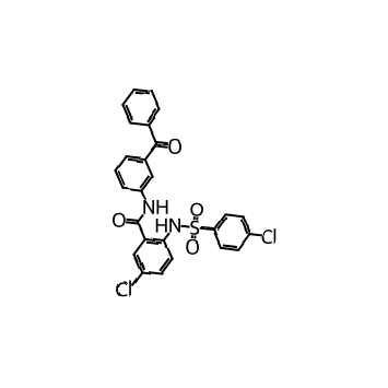 O=C(c1ccccc1)c1cccc(NC(=O)c2cc(Cl)ccc2NS(=O)(=O)c2ccc(Cl)cc2)c1